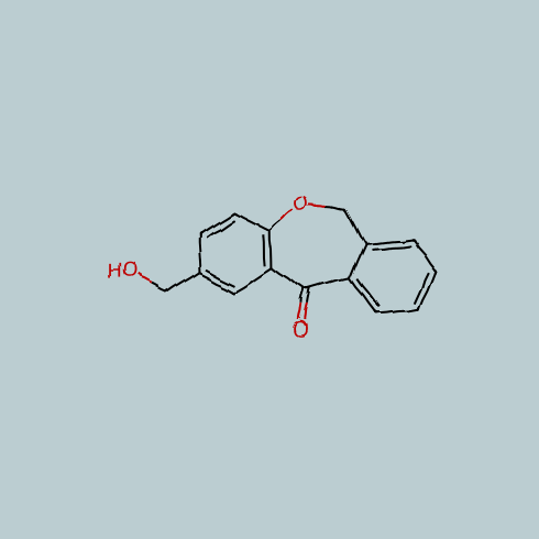 O=C1c2ccccc2COc2ccc(CO)cc21